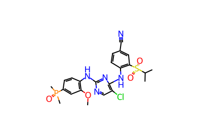 COc1cc(P(C)(C)=O)ccc1Nc1ncc(Cl)c(Nc2ccc(C#N)cc2S(=O)(=O)C(C)C)n1